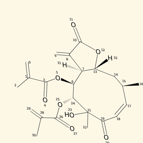 C=C(C)C(=O)O[C@H]1[C@H]2C(=C)C(=O)O[C@@H]2C[C@@H](C)/C=C\C(=O)C(C)(O)[C@@H]1OC(=O)C(=C)C